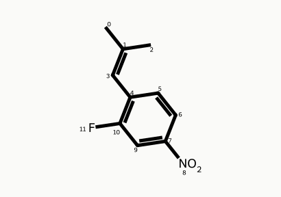 CC(C)=Cc1ccc([N+](=O)[O-])cc1F